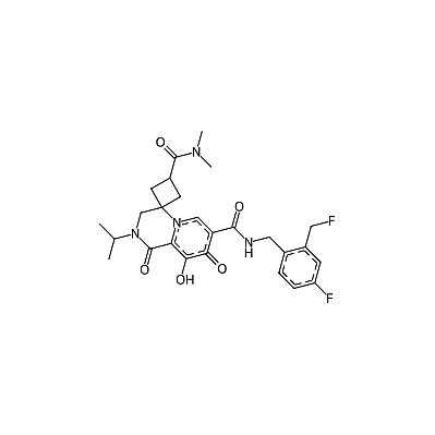 CC(C)N1CC2(CC(C(=O)N(C)C)C2)n2cc(C(=O)NCc3ccc(F)cc3CF)c(=O)c(O)c2C1=O